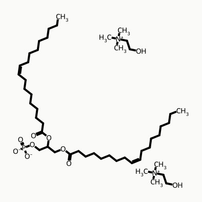 CCCCCCCC/C=C\CCCCCCCC(=O)OCC(COP(=O)([O-])[O-])OC(=O)CCCCCCC/C=C\CCCCCCCC.C[N+](C)(C)CCO.C[N+](C)(C)CCO